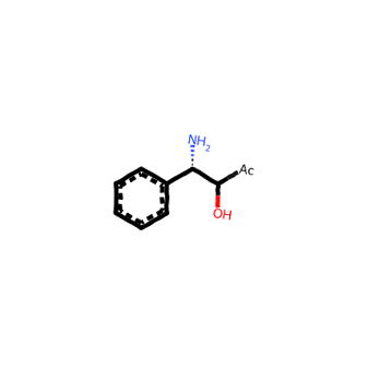 CC(=O)C(O)[C@@H](N)c1ccccc1